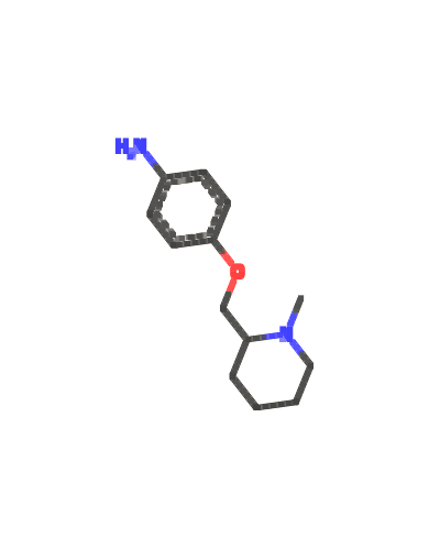 CN1CCCCC1COc1ccc(N)cc1